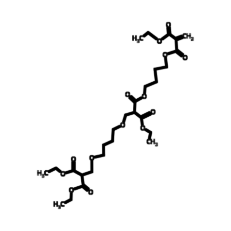 C=C(C(=O)OCC)C(=O)OCCCCOC(=O)C(COCCCCOCC(C(=O)OCC)C(=O)OCC)C(=O)OCC